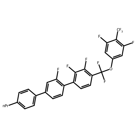 CCCc1ccc(-c2ccc(-c3ccc(C(F)(F)Oc4cc(F)c(C(F)(F)F)c(F)c4)c(F)c3F)c(F)c2)cc1